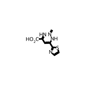 C=NN/C(=C\C(=N)C(=O)O)c1nccs1